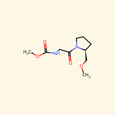 COC[C@@H]1CCCN1C(=O)CNC(=O)OC